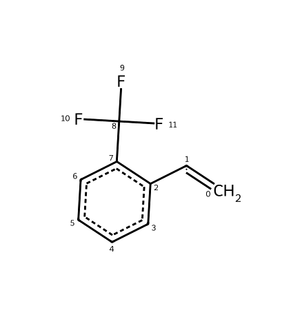 C=[C]c1ccccc1C(F)(F)F